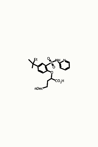 CCCCCCCCCCCCC(Oc1ccc(C(C)(C)CC)cc1S(=O)(=O)Nc1ccccn1)C(=O)O